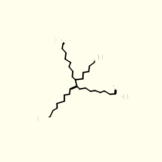 CCCCCCCC/C=C(\CCCCCCCC(=O)O)C(CCCCCC)CCCCCCCC(=O)O